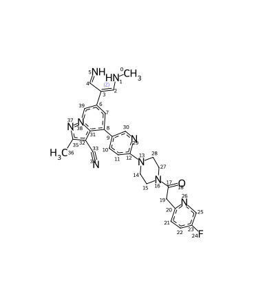 CN/C=C(\C=N)c1cc(-c2ccc(N3CCN(C(=O)Cc4ccc(F)cn4)CC3)nc2)c2c(C#N)c(C)nn2c1